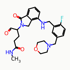 CNC(=O)CCC(C=O)N1Cc2c(NCc3cc(CN4CCOCC4)ccc3F)cccc2C1=O